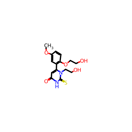 COc1ccc(OCCO)c(-c2cc(=O)[nH]c(=S)n2CCO)c1